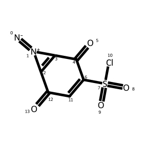 [N-]=[N+]1C2=C1C(=O)C(S(=O)(=O)Cl)=CC2=O